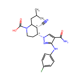 CC(C)CC1[C@H](C#N)[C@H](n2cc(C(N)=O)c(Nc3ccc(F)cc3)n2)CCN1C(=O)O